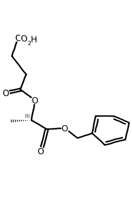 C[C@H](OC(=O)CCC(=O)O)C(=O)OCc1ccccc1